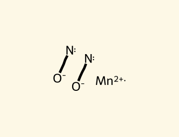 [Mn+2].[N][O-].[N][O-]